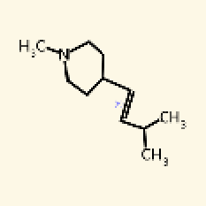 CC(C)/C=C/C1CCN(C)CC1